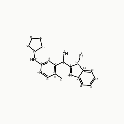 CCn1c(C(C#N)c2nc(NC3CCCC3)ncc2C)nc2ccccc21